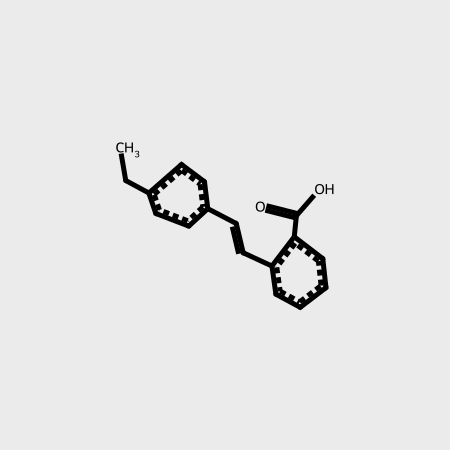 CCc1ccc(C=Cc2ccccc2C(=O)O)cc1